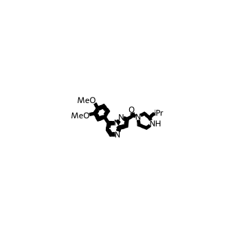 COc1ccc(-c2ccnc3cc(C(=O)N4CCNC(C(C)C)C4)nn23)cc1OC